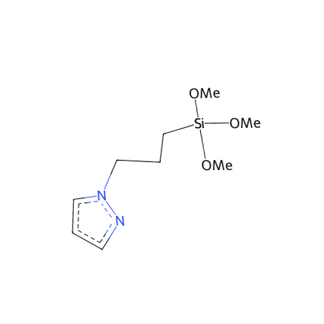 CO[Si](CCCn1cccn1)(OC)OC